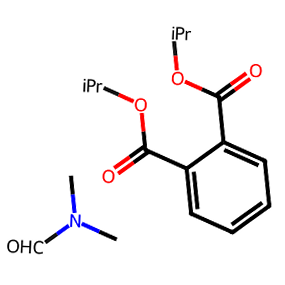 CC(C)OC(=O)c1ccccc1C(=O)OC(C)C.CN(C)C=O